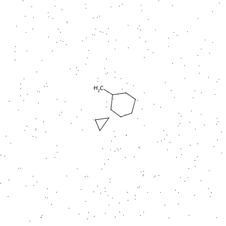 [CH2]C1CCCCC1.[CH]1CC1